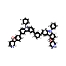 c1ccc(-n2c3ccc(-c4cccc(-c5ccc6c(c5)c5c7oc8ccncc8c7ccc5n6-c5ccccc5)c4)cc3c3cc(-c4ccc5c(c4)oc4ccncc45)ccc32)cc1